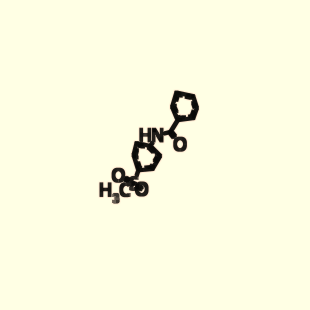 CS(=O)(=O)c1ccc(NC(=O)c2ccccc2)cc1